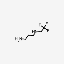 NCCCNCC(F)(F)F